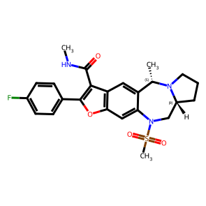 CNC(=O)c1c(-c2ccc(F)cc2)oc2cc3c(cc12)[C@H](C)N1CCC[C@@H]1CN3S(C)(=O)=O